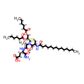 CCCCCCCCCCCCCC(=O)NC(CS)C(=O)N(C[C@H](COC(=O)CCCCC)OC(=O)CCCCC)[C@@H](C)C(=O)N[C@H](CCC(=O)O)C(N)=O